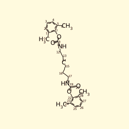 Cc1cccc(C)c1OC(=O)NCCCCCCNC(=O)Oc1c(C)cccc1C